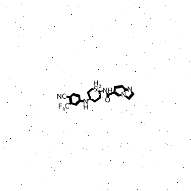 N#Cc1ccc(N[C@H]2CC[SiH2][C@@H](NC(=O)c3ccc4nccn4c3)CC2)cc1C(F)(F)F